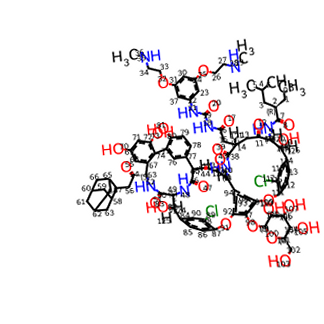 CC[C@H](CC(C)C)C(=O)N[C@H]1C(=O)C[C@@H](CC(=O)NC(=O)Nc2cc(OCCNC)cc(OCCNC)c2)C(=O)N[C@H]2C(=O)C[C@H]3C(=O)N[C@H](C(=O)N[C@H](C(=O)CC4C5CC6CC(C5)CC4C6)c4cc(O)cc(O)c4-c4cc3ccc4O)[C@H](O)c3ccc(c(Cl)c3)Oc3cc2cc(c3O[C@@H]2O[C@H](CO)[C@@H](O)[C@H](O)[C@H]2O)Oc2ccc(cc2Cl)[C@H]1O